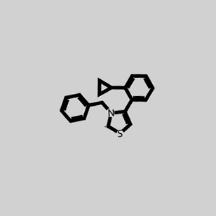 [CH]1SC=C(c2ccccc2C2CC2)N1Cc1ccccc1